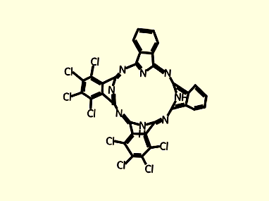 Clc1c(Cl)c(Cl)c2c(c1Cl)-c1nc3nc(nc4[nH]c(nc5[nH]c(nc-2n1)c1c(Cl)c(Cl)c(Cl)c(Cl)c51)c1ccccc41)-c1ccccc1-3